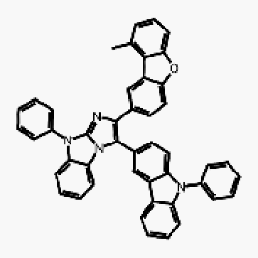 Cc1cccc2oc3ccc(-c4nc5n(-c6ccccc6)c6ccccc6n5c4-c4ccc5c(c4)c4ccccc4n5-c4ccccc4)cc3c12